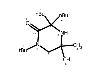 CCCCC1(CCCC)NC(C)(C)CN(C(C)(C)C)C1=O